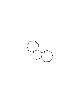 CC1CCCCC=C1C1=CCCCCC1